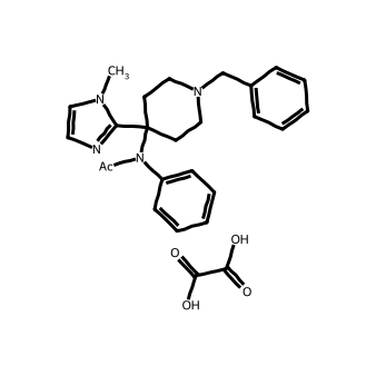 CC(=O)N(c1ccccc1)C1(c2nccn2C)CCN(Cc2ccccc2)CC1.O=C(O)C(=O)O